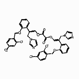 O=C(OC=C(Cn1ccnc1)c1ccccc1OCc1ccc(Cl)cc1Cl)C(=O)OC=C(Cn1ccnc1)c1ccccc1OCc1ccc(Cl)cc1Cl